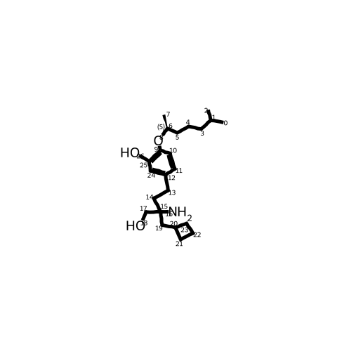 CC(C)CCC[C@H](C)Oc1ccc(CCC(N)(CO)CC2CCC2)cc1O